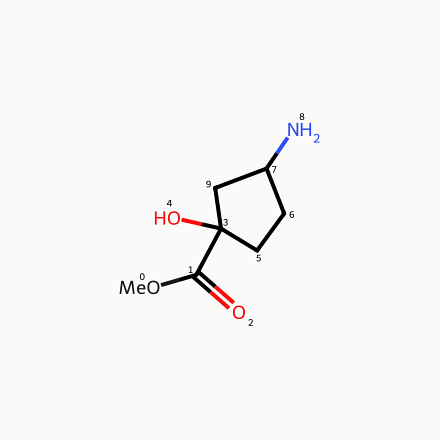 COC(=O)C1(O)CCC(N)C1